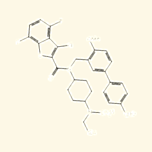 COc1ccc(-c2ccc(C=O)cc2)cc1CN(C(=O)c1sc2c(F)ccc(F)c2c1Cl)C1CCC(N(CC(C)(C)C)C(=O)O)CC1